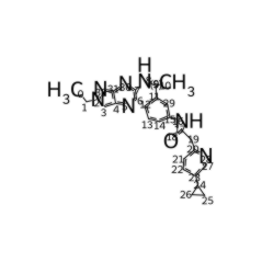 CCn1cc2ncc(N[C@@H](C)c3cccc(NC(=O)Cc4ccc(C5CC5)cn4)c3)nc2n1